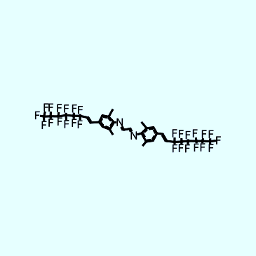 Cc1cc(C=CC(F)(F)C(F)(F)C(F)(F)C(F)(F)C(F)(F)C(F)(F)F)cc(C)c1N=CC=Nc1c(C)cc(C=CC(F)(F)C(F)(F)C(F)(F)C(F)(F)C(F)(F)C(F)(F)F)cc1C